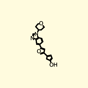 OC1=CC=C(c2coc(-c3ccc4c(c3)ncn4C3CCOCC3)c2)C1